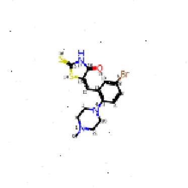 CN1CCN(c2ccc(Br)cc2/C=C2/SC(=S)NC2=O)CC1